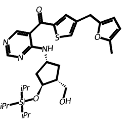 Cc1ccc(Cc2csc(C(=O)c3cncnc3N[C@@H]3C[C@H](CO)[C@@H](O[Si](C(C)C)(C(C)C)C(C)C)C3)c2)o1